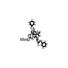 C=C(C)C1(NC(=O)COc2ccccc2)C(=O)N(CC(=O)OC)C1SSC(C)=Nc1ccccc1